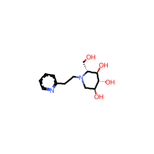 OC[C@@H]1[C@@H](O)[C@H](O)[C@@H](O)CN1CCc1ccccn1